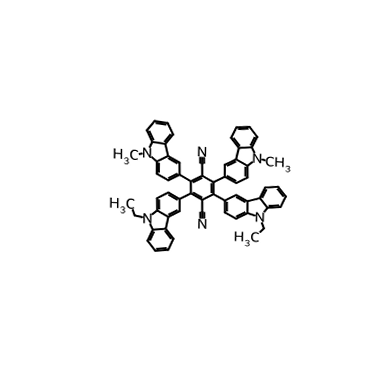 CCn1c2ccccc2c2cc(-c3c(C#N)c(-c4ccc5c(c4)c4ccccc4n5CC)c(-c4ccc5c(c4)c4ccccc4n5C)c(C#N)c3-c3ccc4c(c3)c3ccccc3n4C)ccc21